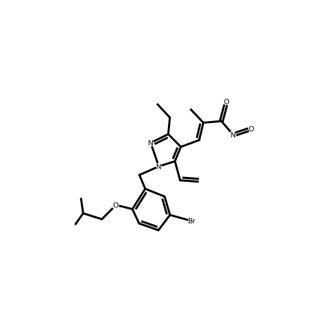 C=Cc1c(/C=C(\C)C(=O)N=O)c(CC)nn1Cc1cc(Br)ccc1OCC(C)C